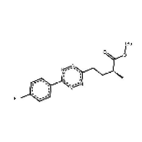 C[C@@H](CCc1nnc(-c2ccc(C(F)(F)F)cc2)nn1)C(=O)OC(C)(C)C